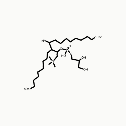 CCCCCCCCCCCCCCCCCCC(CCC)C(CCCCCCCCCCCCCCCCCC)C(C[N+](C)(C)C)OP(=O)(O)OCC(O)CO